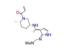 C=CC(=O)N1C[C@H](N/C(C)=C2\C=CN\C2=N\CNC)CC[C@@H]1C